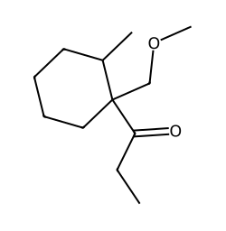 CCC(=O)C1(COC)CCCCC1C